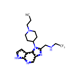 N#CCCN1CCC(n2c(CNCC(F)(F)F)nc3cnc4[nH]ccc4c32)CC1